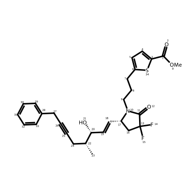 COC(=O)c1ccc(CCCN2C(=O)C(F)(F)C[C@@H]2C=C[C@@H](O)[C@H](C)CC#CCc2ccccc2)s1